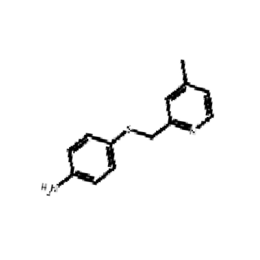 Cc1ccnc(CSc2ccc(N)cc2)c1